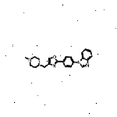 CN1CCN(Cc2coc(-c3ccc(-n4cnc5ccccc54)cc3)n2)CC1